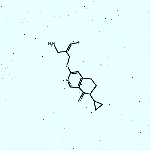 NC/C(=C/F)COc1cc2c(cn1)C(=O)N(C1CC1)CC2